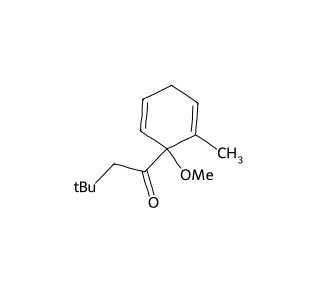 COC1(C(=O)CC(C)(C)C)C=CCC=C1C